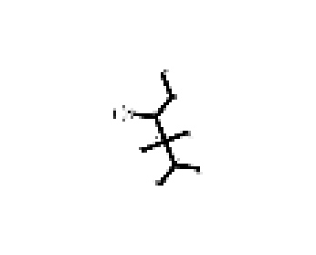 CCC(N)C(C)(C)C(C)C